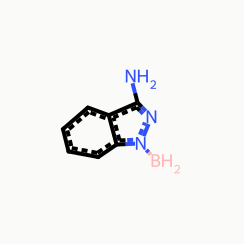 Bn1nc(N)c2ccccc21